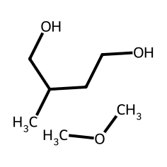 CC(CO)CCO.COC